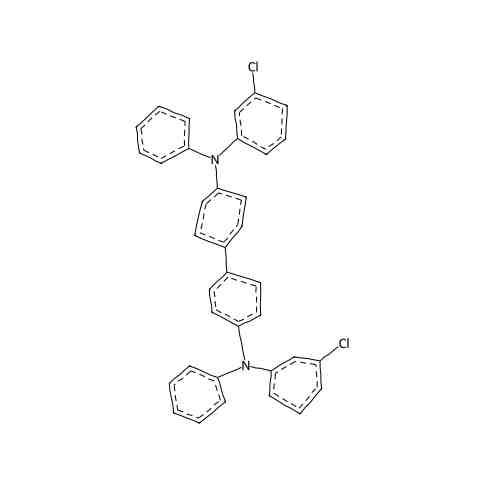 Clc1cccc(N(c2ccccc2)c2ccc(-c3ccc(N(c4ccccc4)c4cccc(Cl)c4)cc3)cc2)c1